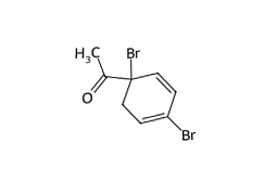 CC(=O)C1(Br)C=CC(Br)=CC1